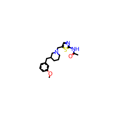 COc1cccc(CC2CCCN(Cc3cnc(NC(C)=O)s3)C2)c1